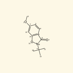 COc1ccc2c(=O)n(C(C)(C)C)oc2c1